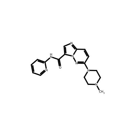 CN1CCN(c2ccc3ncc(C(=O)Nc4ccccn4)n3n2)CC1